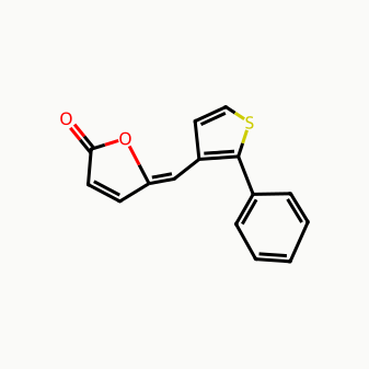 O=C1C=CC(=Cc2ccsc2-c2ccccc2)O1